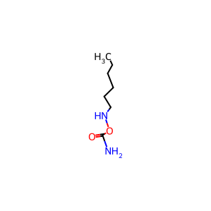 CCCCCCNOC(N)=O